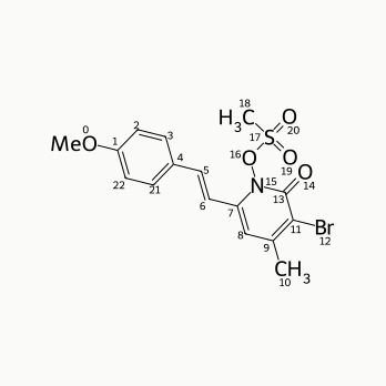 COc1ccc(C=Cc2cc(C)c(Br)c(=O)n2OS(C)(=O)=O)cc1